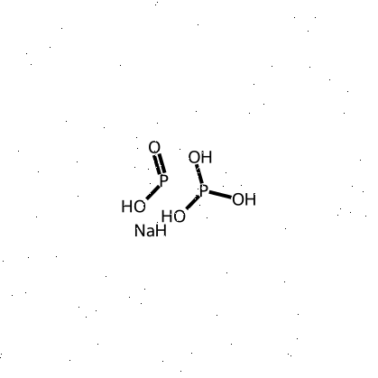 O=PO.OP(O)O.[NaH]